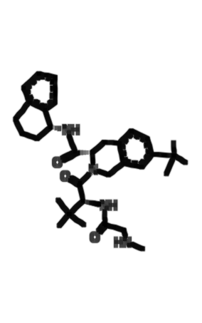 CNCC(=O)N[C@H](C(=O)N1Cc2cc(C(C)(C)C)ccc2C[C@H]1C(=O)N[C@@H]1CCCc2ccccc21)C(C)(C)C